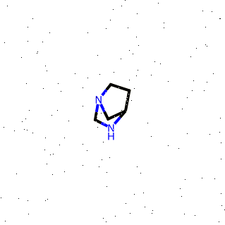 C1CN2CNC1C2